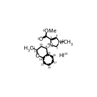 COC(=O)C1=CN(C)CN1[C@H]1C[C@H](C)Oc2ccccc21.I